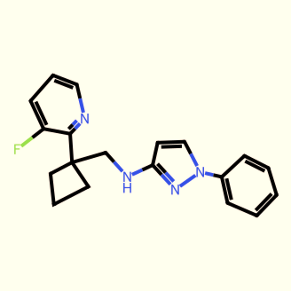 Fc1cccnc1C1(CNc2ccn(-c3ccccc3)n2)CCC1